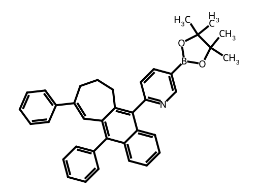 CC1(C)OB(c2ccc(-c3c4c(c(-c5ccccc5)c5ccccc35)C=C(c3ccccc3)CCC4)nc2)OC1(C)C